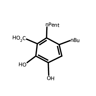 CCCCCc1c(CCCC)cc(O)c(O)c1C(=O)O